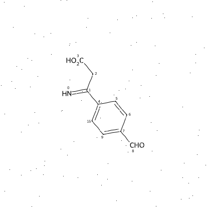 N=C(CC(=O)O)c1ccc(C=O)cc1